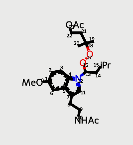 COc1ccc2c(c1)c(CCNC(C)=O)cn2C(CC(C)C)OOC(C)(C)CCOC(C)=O